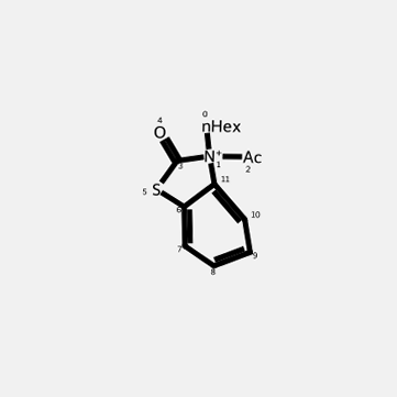 CCCCCC[N+]1(C(C)=O)C(=O)Sc2ccccc21